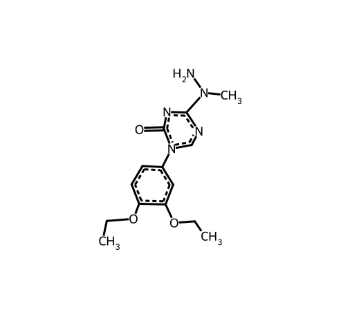 CCOc1ccc(-n2cnc(N(C)N)nc2=O)cc1OCC